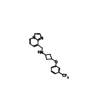 FC(F)(F)c1cccc(OC2CC(NCc3cccn4ccnc34)C2)c1